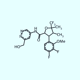 COc1c(C2C(C(=O)Nc3cnnc(CO)c3)OC(C)(C(F)(F)F)C2C)ccc(F)c1F